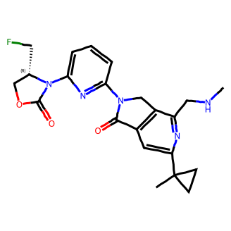 CNCc1nc(C2(C)CC2)cc2c1CN(c1cccc(N3C(=O)OC[C@@H]3CF)n1)C2=O